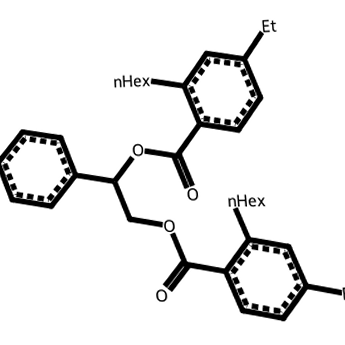 CCCCCCc1cc(CC)ccc1C(=O)OCC(OC(=O)c1ccc(CC)cc1CCCCCC)c1ccccc1